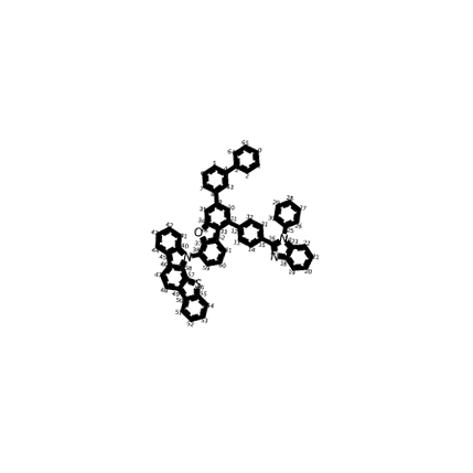 c1ccc(-c2cccc(-c3cc(-c4ccc(-c5nc6ccccc6n5-c5ccccc5)cc4)c4c(c3)oc3c(-n5c6ccccc6c6ccc7c8ccccc8sc7c65)cccc34)c2)cc1